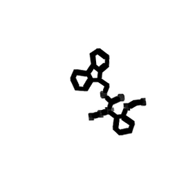 O=C(OCC1c2ccccc2-c2ccccc21)[N+](=C=S)c1ccccc1N=C=S